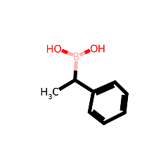 CC(B(O)O)c1ccccc1